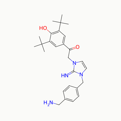 CC(C)(C)c1cc(C(=O)Cn2ccn(Cc3ccc(CN)cc3)c2=N)cc(C(C)(C)C)c1O